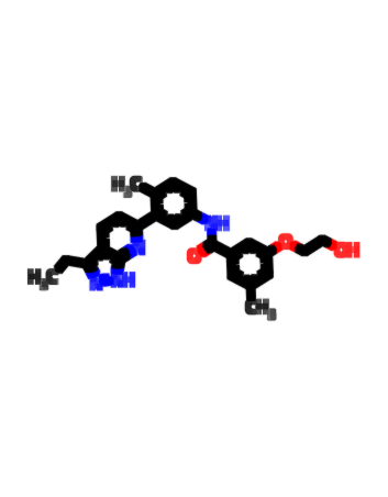 CCc1n[nH]c2nc(-c3cc(NC(=O)c4cc(C)cc(OCCO)c4)ccc3C)ccc12